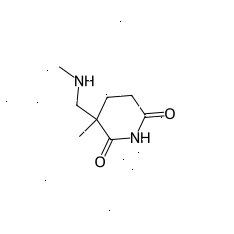 CNCC1(C)CCC(=O)NC1=O